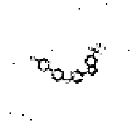 CCc1cnc(N2CCC(Oc3ccc(-n4ccc5cc(S(C)(=O)=O)ccc54)cn3)CC2)nc1